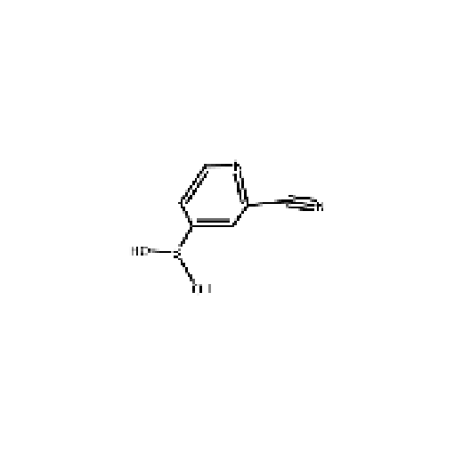 N#Cc1cc(B(O)O)ccn1